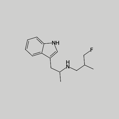 CC(CF)CNC(C)Cc1c[nH]c2ccccc12